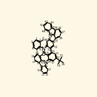 Cc1ccccc1N1B2c3c(cc(C(C)(C)C)cc3-n3c4ccccc4c4cccc2c43)-c2cc3c4cccc5c6ccccc6n(c3cc21)c54